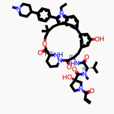 C=CC(=O)N1CCC(O)(C(=O)N(C)[C@H](C(=O)N[C@H]2Cc3cc(O)cc(c3)-c3ccc4c(c3)c(c(-c3ccc(C5CCN(C)CC5)cc3)n4CC)CC(C)(C)COC(=O)[C@@H]3CCCN(N3)C2=O)C(C)C)C1